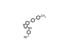 Cc1ccc(-c2ccc(-c3ccc4ncnc(Nc5ccc(CC#N)cc5)c4c3)cc2)cc1